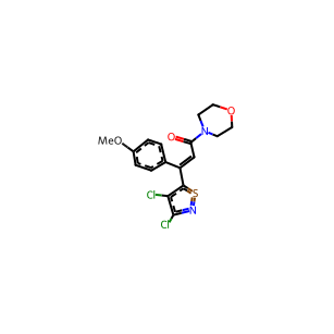 COc1ccc(/C(=C\C(=O)N2CCOCC2)c2snc(Cl)c2Cl)cc1